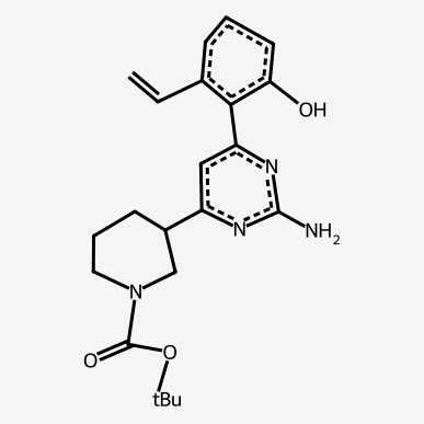 C=Cc1cccc(O)c1-c1cc(C2CCCN(C(=O)OC(C)(C)C)C2)nc(N)n1